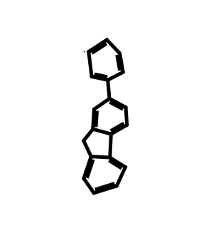 [c]1cccc(-c2ccc3c(c2)Cc2ccccc2-3)c1